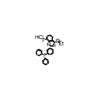 CCOc1ncnc2c(F)cccc12.Cl.c1ccc(P(c2ccccc2)c2ccccc2)cc1